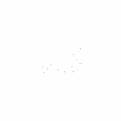 CC1(C)CCC(CN2CCN(Cc3cc(F)c4c(c3)CN(C3CCC(=O)NC3=O)C4=O)CC2)=C(c2ccc(Cl)cc2)C1